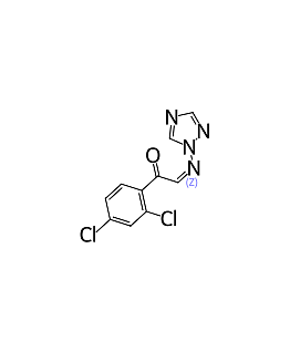 O=C(/C=N\n1cncn1)c1ccc(Cl)cc1Cl